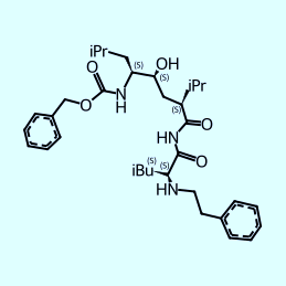 CC[C@H](C)[C@H](NCCc1ccccc1)C(=O)NC(=O)[C@@H](C[C@H](O)[C@H](CC(C)C)NC(=O)OCc1ccccc1)C(C)C